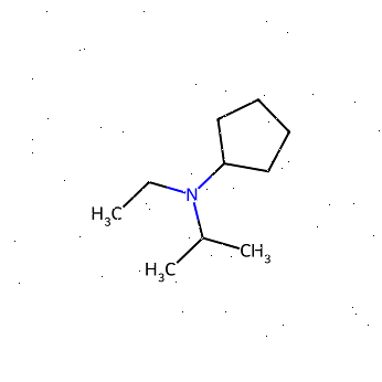 CCN(C(C)C)C1CCCC1